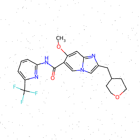 COc1cc2nc(CC3CCOCC3)cn2cc1C(=O)Nc1cccc(C(F)(F)F)n1